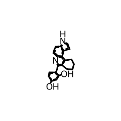 Oc1ccc(-c2nc3ccc4[nH]ccc4c3c3c2CCCC3)c(O)c1